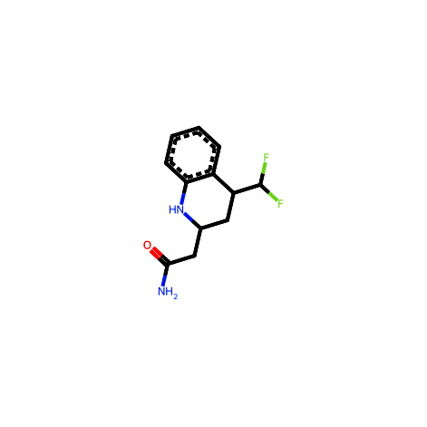 NC(=O)CC1CC(C(F)F)c2ccccc2N1